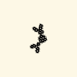 CC1(C)c2cccc3c2N2c4c1cc(-c1ccc(N(c5ccc6ccccc6c5)c5ccc6ccccc6c5)cc1)cc4C(C)(C)c1cc(-c4ccc(N(c5ccc6ccccc6c5)c5ccc6ccccc6c5)c5ccccc45)cc(c12)C3(C)C